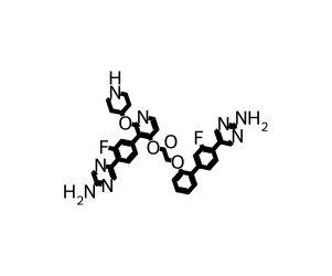 Nc1cnc(-c2ccc(-c3c(OC(=O)COc4ccccc4-c4ccc(-c5cnc(N)nc5)c(F)c4)ccnc3OC3CCNCC3)cc2F)cn1